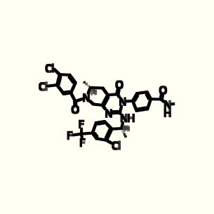 CNC(=O)c1ccc(-n2c(N[C@H](C)c3ccc(C(F)(F)F)cc3Cl)nc3c(c2=O)C[C@@H](C)N(C(=O)c2ccc(Cl)c(Cl)c2)C3)cc1